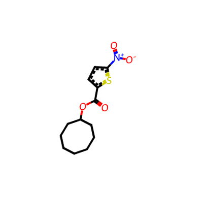 O=C(OC1CCCCCCC1)c1ccc([N+](=O)[O-])s1